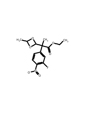 CCOC(=O)C(C)(c1ccc([N+](=O)[O-])c(F)c1)C1OC(C)O1